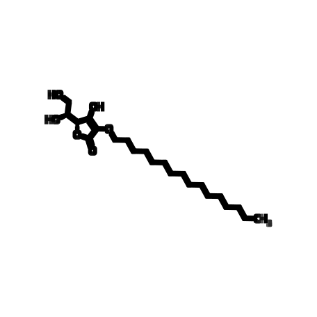 CCCCCCCCCCCCCCCCOC1=C(O)[C@@H]([C@@H](O)CO)OC1=O